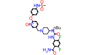 CCCCN(C(=O)Nc1cc(C(N)=O)c(F)cc1F)C1CCN(Cc2ccc(Oc3ccc(NS(C)(=O)=O)cc3)[n+]([O-])c2)CC1